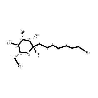 NCCCCCCC[C@]1(O)O[C@H](CO)[C@@H](O)[C@H](O)[C@@H]1O